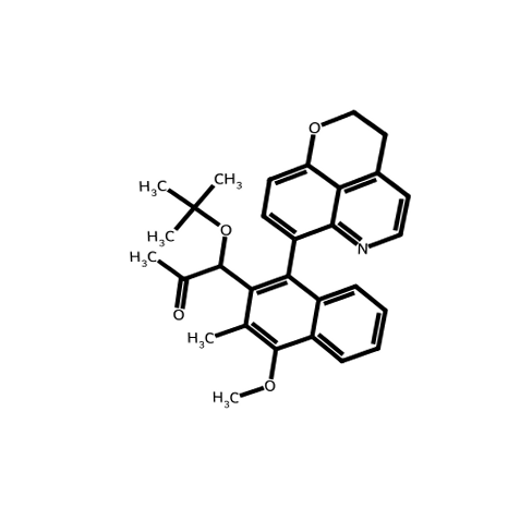 COc1c(C)c(C(OC(C)(C)C)C(C)=O)c(-c2ccc3c4c(ccnc24)CCO3)c2ccccc12